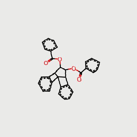 O=C(OC1C(OC(=O)c2ccccc2)C2c3ccccc3C23c2ccccc2C13)c1ccccc1